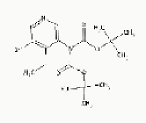 CCc1c(Br)cncc1N(C(=O)OC(C)(C)C)C(=O)OC(C)(C)C